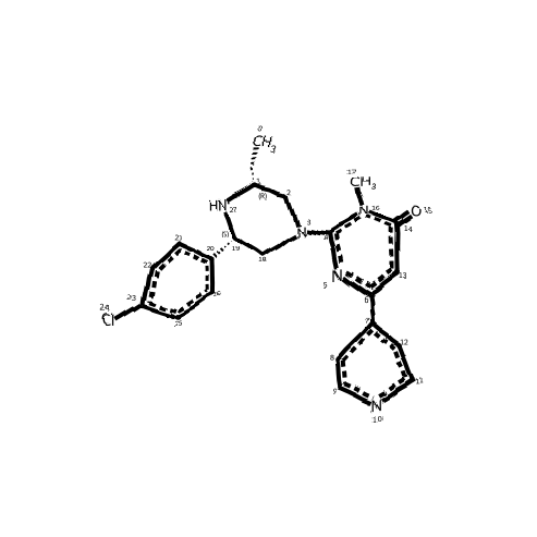 C[C@@H]1CN(c2nc(-c3ccncc3)cc(=O)n2C)C[C@H](c2ccc(Cl)cc2)N1